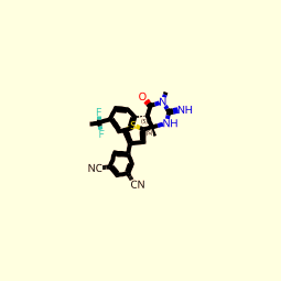 CN1C(=N)N[C@](C)(c2cc(-c3cc(C#N)cc(C#N)c3)cs2)[C@H](c2ccc(C(C)(F)F)cc2)C1=O